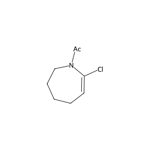 CC(=O)N1CCCCC=C1Cl